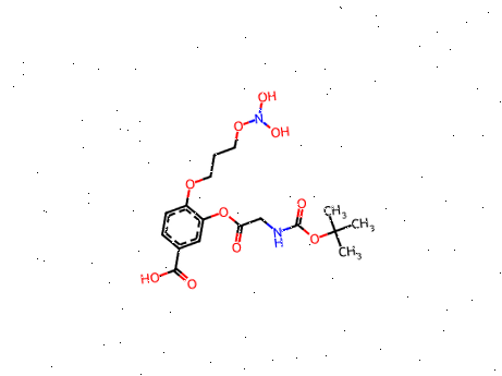 CC(C)(C)OC(=O)NCC(=O)Oc1cc(C(=O)O)ccc1OCCCON(O)O